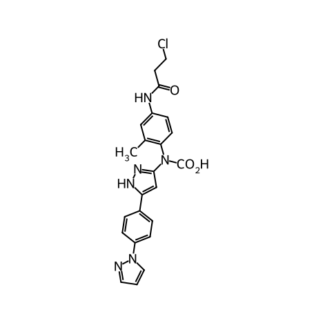 Cc1cc(NC(=O)CCCl)ccc1N(C(=O)O)c1cc(-c2ccc(-n3cccn3)cc2)[nH]n1